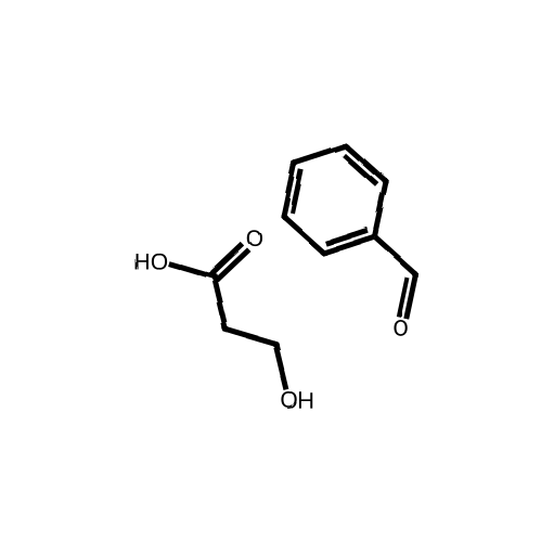 O=C(O)CCO.O=Cc1ccccc1